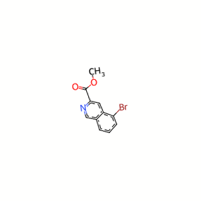 COC(=O)c1cc2c(Br)cccc2cn1